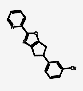 N#Cc1cccc(C2Cc3nc(-c4ccccn4)oc3C2)c1